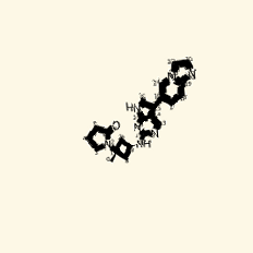 C[C@]1(N2CCCC2=O)C[C@@H](Nc2ncc3c(-c4ccc5nccn5c4)c[nH]c3n2)C1